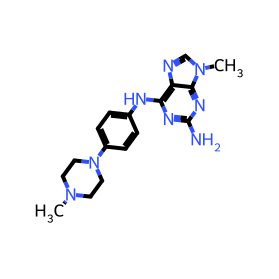 CN1CCN(c2ccc(Nc3nc(N)nc4c3ncn4C)cc2)CC1